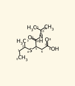 CCC(C)SC(CC(=O)O)C(=O)NC(C)C